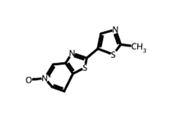 Cc1ncc(-c2nc3c[n+]([O-])ccc3s2)s1